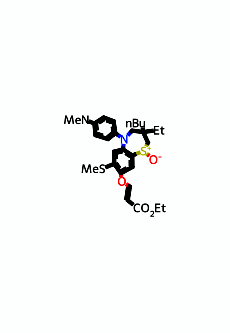 CCCCC1(CC)CN(c2ccc(NC)cc2)c2cc(SC)c(O/C=C/C(=O)OCC)cc2[S+]([O-])C1